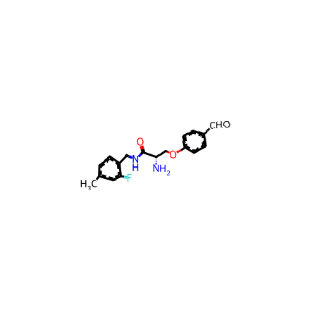 Cc1ccc(CNC(=O)[C@@H](N)COc2ccc(C=O)cc2)c(F)c1